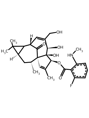 CNc1cccc(F)c1C(=O)O[C@H]1C(C)=C[C@]23C(=O)[C@@H](C=C(CO)[C@@H](O)[C@]12O)C1[C@@H](C[C@H]3C)C1(C)C